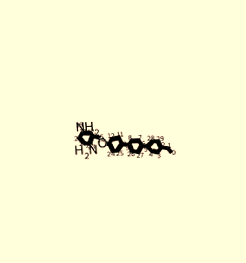 CCc1ccc(-c2ccc(-c3ccc(OCc4cc(N)ccc4N)cc3)cc2)cc1